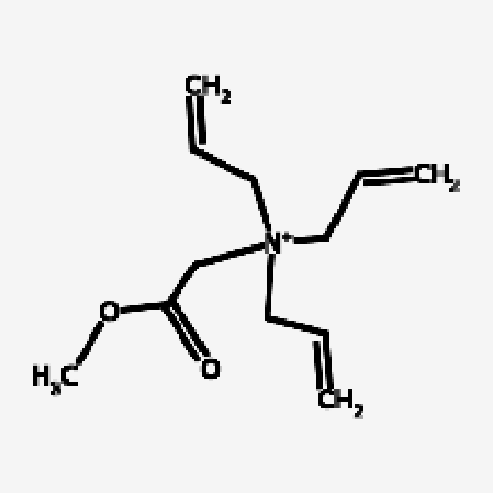 C=CC[N+](CC=C)(CC=C)CC(=O)OC